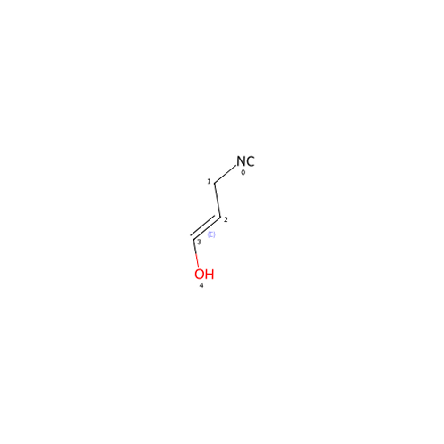 [C-]#[N+]C/C=C/O